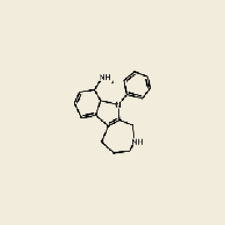 NC1C=CC=C2C3=C(CNCCC3)N(c3ccccc3)C21